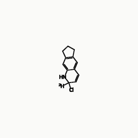 [2H]C1(Cl)C=Cc2cc3c(cc2N1)CCC3